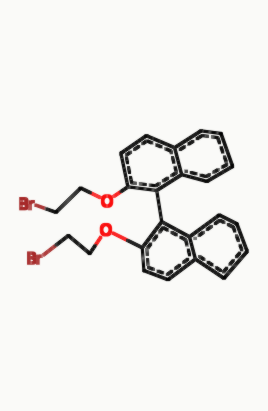 BrCCOc1ccc2ccccc2c1-c1c(OCCBr)ccc2ccccc12